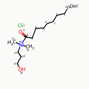 CCCCCCCCCCCCCCCCCC(=O)[N+](C)(C)CCCO.[Cl-]